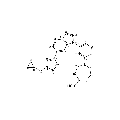 O=C(O)N1CCCN(c2cccc(-n3ncc4cnc(-c5cnn(CC6CC6)c5)cc43)n2)CC1